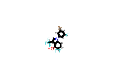 OC1c2c(C(F)(F)F)cn(-c3cc(F)cc(Br)c3)c2CCC1(F)F